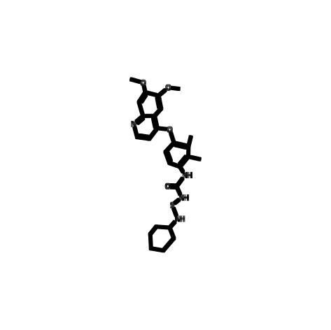 COc1cc2nccc(Oc3ccc(NC(=O)NSNC4CCCCC4)c(C)c3C)c2cc1OC